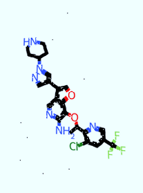 CC(Oc1c(N)ncc2c(-c3cnn(C4CCNCC4)c3)coc12)c1ncc(C(F)(F)F)cc1Cl